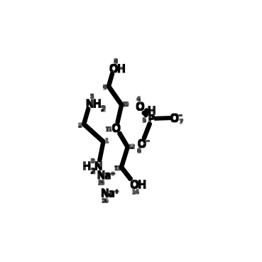 NCCN.O=[PH]([O-])[O-].OCCOCCO.[Na+].[Na+]